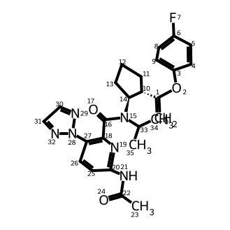 C=C(Oc1ccc(F)cc1)[C@H]1CCC[C@@H]1N(C(=O)c1nc(NC(C)=O)ccc1-n1nccn1)C(C)C